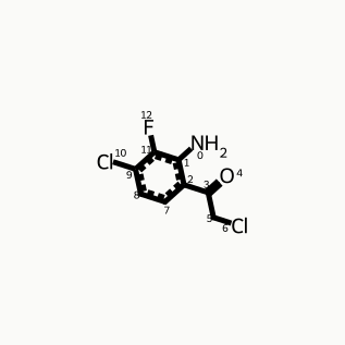 Nc1c(C(=O)CCl)ccc(Cl)c1F